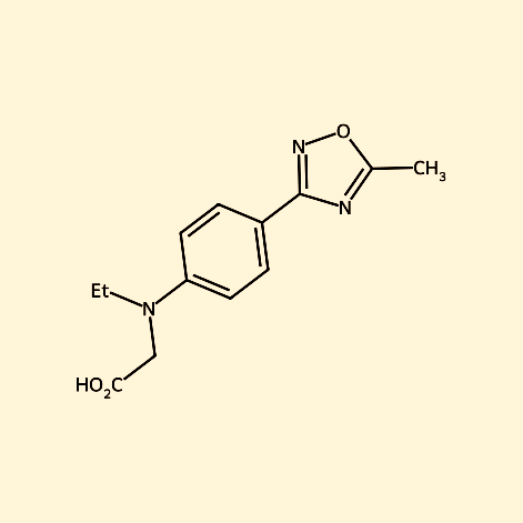 CCN(CC(=O)O)c1ccc(-c2noc(C)n2)cc1